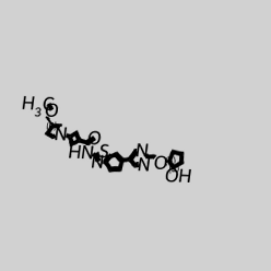 COC[C@@H]1CCN(C2CC(C(=O)Nc3nc4ccc(-c5cnc(CO[C@H]6CCC[C@@H]6O)nc5)cc4s3)C2)C1